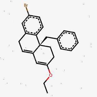 CCOC1=CC2=CCc3cc(Br)ccc3[C@]2(Cc2ccccc2)CC1